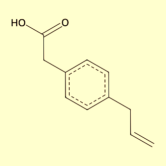 C=CCc1ccc(CC(=O)O)cc1